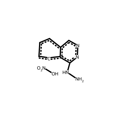 NNc1nncc2ccccc12.O=[N+]([O-])O